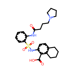 O=C(CCCN1CCCC1)Nc1ccccc1S(=O)(=O)Nc1ccc2c(c1C(=O)O)CCCC2